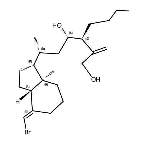 C=C(CO)[C@H](CCCC)[C@@H](O)C[C@@H](C)[C@H]1CC[C@H]2/C(=C/Br)CCC[C@]12C